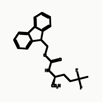 CC(F)(F)CC[C@H](NC(=O)OCC1c2ccccc2-c2ccccc21)C(=O)O